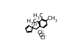 Cc1ccc(C[C]2([Ti+3])C=CC=C2)c(C)c1C.[Cl-].[Cl-].[Cl-]